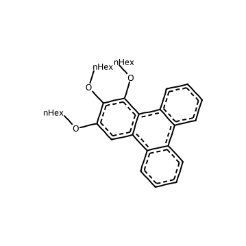 CCCCCCOc1cc2c3ccccc3c3ccccc3c2c(OCCCCCC)c1OCCCCCC